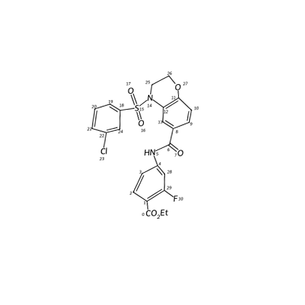 CCOC(=O)c1ccc(NC(=O)c2ccc3c(c2)N(S(=O)(=O)c2cccc(Cl)c2)CCO3)cc1F